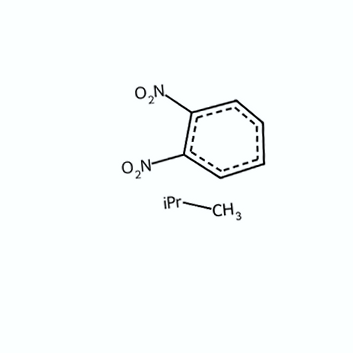 CC(C)C.O=[N+]([O-])c1ccccc1[N+](=O)[O-]